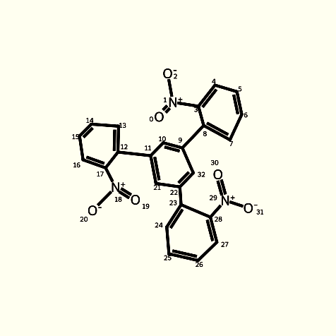 O=[N+]([O-])c1ccccc1-c1cc(-c2ccccc2[N+](=O)[O-])cc(-c2ccccc2[N+](=O)[O-])c1